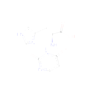 NC(Cc1c[nH]cn1)C(=O)O.O=c1cc[nH]c(=O)[nH]1